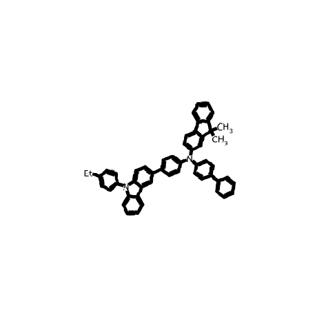 CCc1ccc(-n2c3ccccc3c3cc(-c4ccc(N(c5ccc(-c6ccccc6)cc5)c5ccc6c(c5)C(C)(C)c5ccccc5-6)cc4)ccc32)cc1